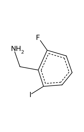 NCc1c(F)cccc1I